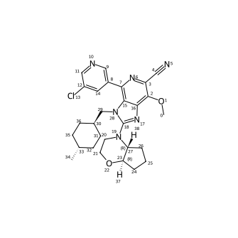 COc1c(C#N)nc(-c2cncc(Cl)c2)c2c1nc(N1CCO[C@@H]3CCC[C@H]31)n2C[C@H]1CC[C@H](C)CC1